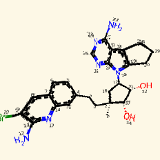 C[C@]1(CCc2ccc3cc(Br)c(N)nc3c2)CC(n2c3c(c4c(N)ncnc42)CCC3)[C@H](O)[C@@H]1O